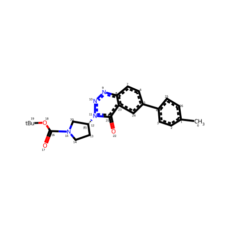 Cc1ccc(-c2ccc3nnn([C@@H]4CCN(C(=O)OC(C)(C)C)C4)c(=O)c3c2)cc1